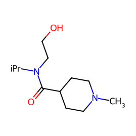 CC(C)N(CCO)C(=O)C1CCN(C)CC1